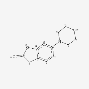 O=C1Cc2ccc(N3CCOCC3)cc2O1